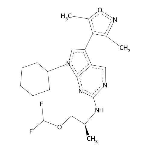 Cc1noc(C)c1-c1cn(C2CCCCC2)c2nc(N[C@@H](C)COC(F)F)ncc12